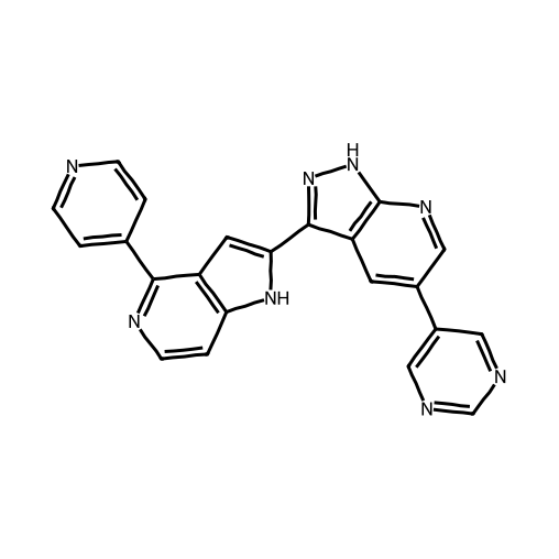 c1cc(-c2nccc3[nH]c(-c4n[nH]c5ncc(-c6cncnc6)cc45)cc23)ccn1